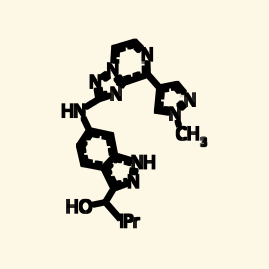 CC(C)C(O)c1n[nH]c2cc(Nc3nc4c(-c5cnn(C)c5)nccn4n3)ccc12